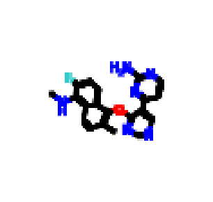 CNc1c(F)ccc2c(Oc3ncncc3-c3ccnc(N)n3)c(C)ccc12